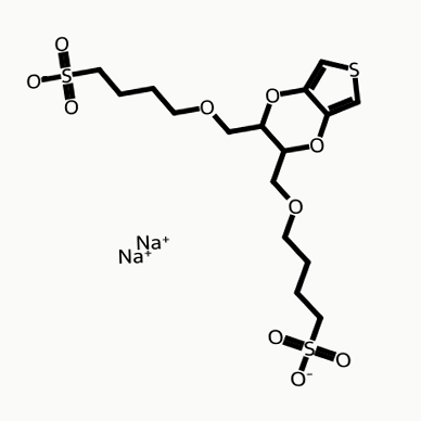 O=S(=O)([O-])CCCCOCC1Oc2cscc2OC1COCCCCS(=O)(=O)[O-].[Na+].[Na+]